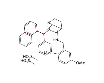 COc1ccc(OC)c(CNC2C3CCN(C(CCc4ccccc4)C3)C2C(c2ccccc2)c2ccccc2)c1.CS(=O)(=O)O.CS(=O)(=O)O